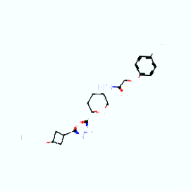 O=C(COc1ccc(C(F)(F)F)cc1)N[C@H]1CC[C@H](c2nnc(C3CC(OC(F)(F)F)C3)o2)OC1